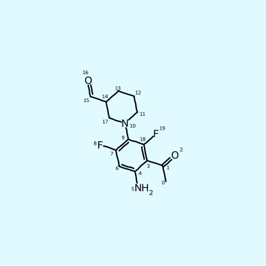 CC(=O)c1c(N)cc(F)c(N2CCCC(C=O)C2)c1F